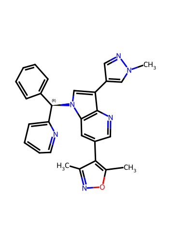 Cc1noc(C)c1-c1cnc2c(-c3cnn(C)c3)cn([C@H](c3ccccc3)c3ccccn3)c2c1